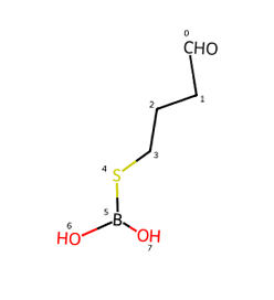 O=CCCCSB(O)O